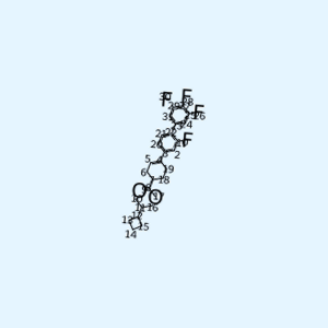 Fc1cc(C2=CCC(C3OCC(C4CCC4)CO3)CC2)ccc1-c1cc(F)c(F)c(F)c1